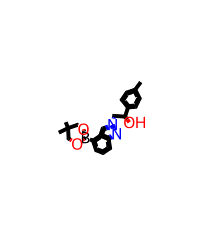 Cc1ccc(C(O)Cn2cc3c(B4OCC(C)(C)CO4)cccc3n2)cc1